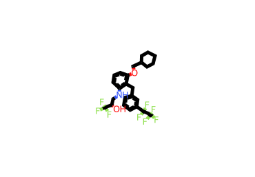 OC(CNc1cccc(OCC2CCCCC2)c1Cc1cccc(C(F)(F)C(F)(F)F)c1)C(F)(F)F